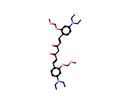 CCN(CC)c1ccc(C=CC(=O)CC(=O)C=Cc2ccc(N(CC)CC)cc2OCOC)c(OCOC)c1